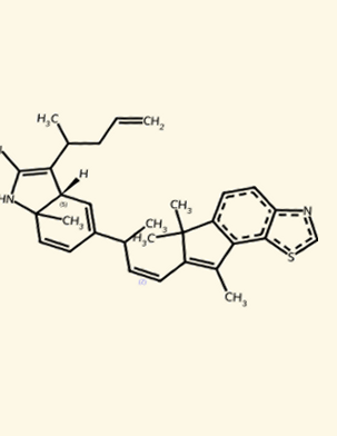 C=CCC(C)C1=C(I)NC2(C)C=CC(C(C)/C=C\C3=C(C)c4c(ccc5ncsc45)C3(C)C)=C[C@@H]12